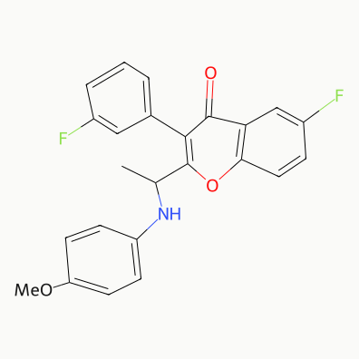 COc1ccc(NC(C)c2oc3ccc(F)cc3c(=O)c2-c2cccc(F)c2)cc1